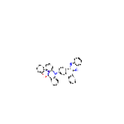 c1ccc(-c2nc3ccccc3nc2-c2ccc(N(c3ccccc3)c3ccccc3-c3nc4ccccc4o3)cc2)cc1